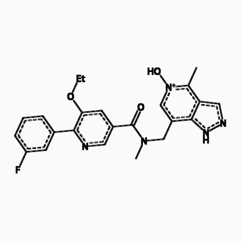 CCOc1cc(C(=O)N(C)Cc2c[n+](O)c(C)c3cn[nH]c23)cnc1-c1cccc(F)c1